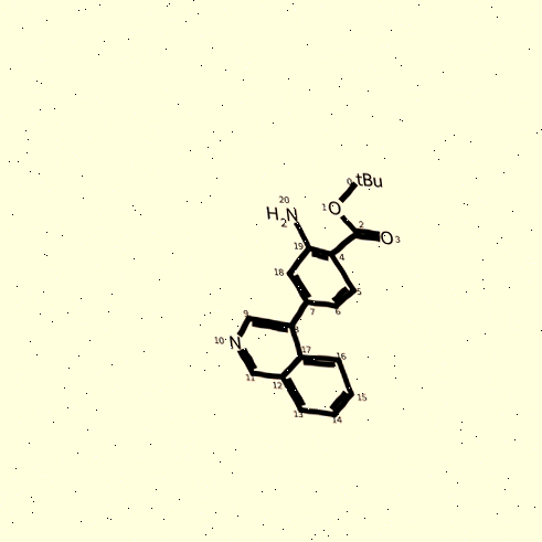 CC(C)(C)OC(=O)c1ccc(-c2cncc3ccccc23)cc1N